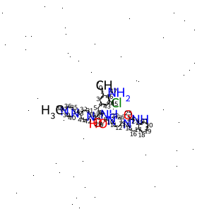 C#Cc1cc(C[C@@H](NC(O)N2CCC(N3CCc4ccccc4NC3=O)CC2)C(=O)N2CCC(N3CCN(C)CC3)CC2)cc(Cl)c1N